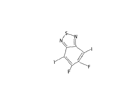 Fc1c(F)c(I)c2nsnc2c1I